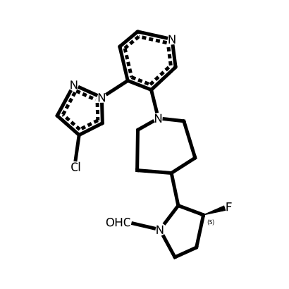 O=CN1CC[C@H](F)C1C1CCN(c2cnccc2-n2cc(Cl)cn2)CC1